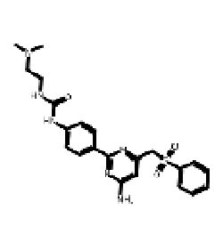 CN(C)CCNC(=O)Nc1ccc(-c2nc(N)cc(CS(=O)(=O)c3ccccc3)n2)cc1